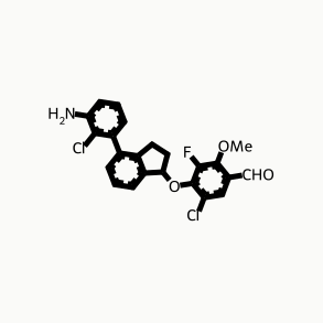 COc1c(C=O)cc(Cl)c(OC2CCc3c(-c4cccc(N)c4Cl)cccc32)c1F